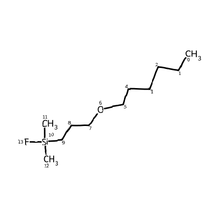 CCCCCCOCCC[Si](C)(C)F